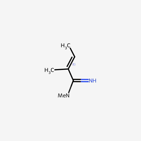 C/C=C(\C)C(=N)NC